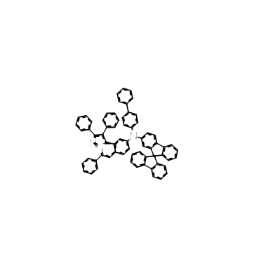 c1ccc(-c2ccc(N(c3ccc4c(c3)C3(c5ccccc5-c5ccccc53)c3ccccc3-4)c3ccc4cc(-c5ccccc5)n5nc(-c6ccccc6)c(-c6ccccc6)c5c4c3)cc2)cc1